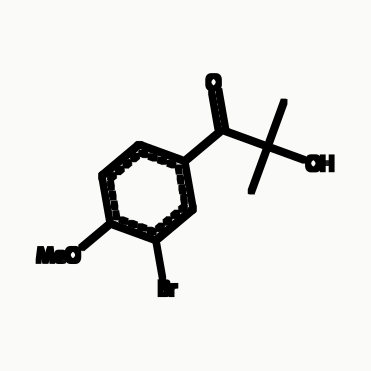 COc1ccc(C(=O)C(C)(C)O)cc1Br